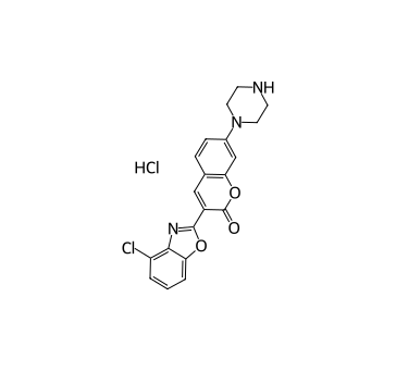 Cl.O=c1oc2cc(N3CCNCC3)ccc2cc1-c1nc2c(Cl)cccc2o1